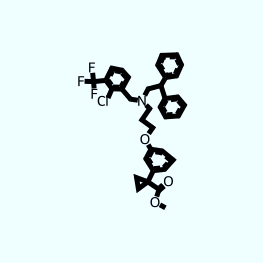 COC(=O)C1(c2cccc(OCCCN(Cc3cccc(C(F)(F)F)c3Cl)CC(c3ccccc3)c3ccccc3)c2)CC1